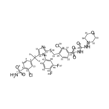 CC(C)(c1ccc(S(N)(=O)=O)c(Cl)c1)c1cnc(SCc2ccc(S(=O)(=O)NC(=O)NN3CCOCC3)cc2Cl)n1-c1ccc(F)c(F)c1